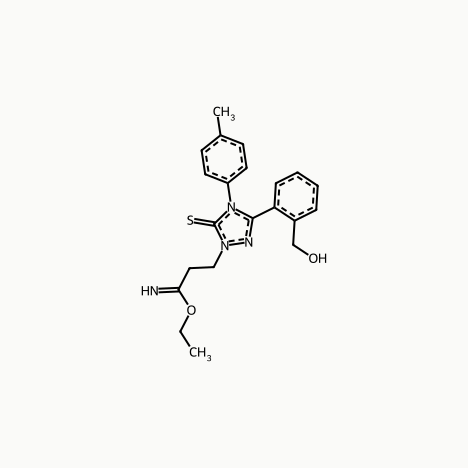 CCOC(=N)CCn1nc(-c2ccccc2CO)n(-c2ccc(C)cc2)c1=S